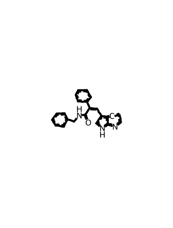 O=C(NCc1ccccc1)C(=Cc1c[nH]c2ncccc12)c1ccccc1